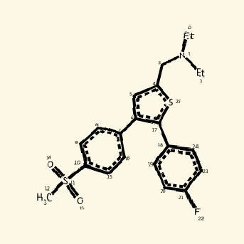 CCN(CC)Cc1cc(-c2ccc(S(C)(=O)=O)cc2)c(-c2ccc(F)cc2)s1